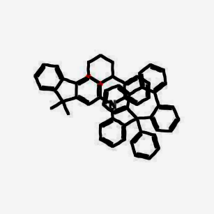 CC1(C)c2ccccc2-c2ccc(N(c3ccccc3C3CCCCC3)c3ccccc3C3(c4ccccc4)c4ccccc4-c4ccccc4-c4ccccc43)cc21